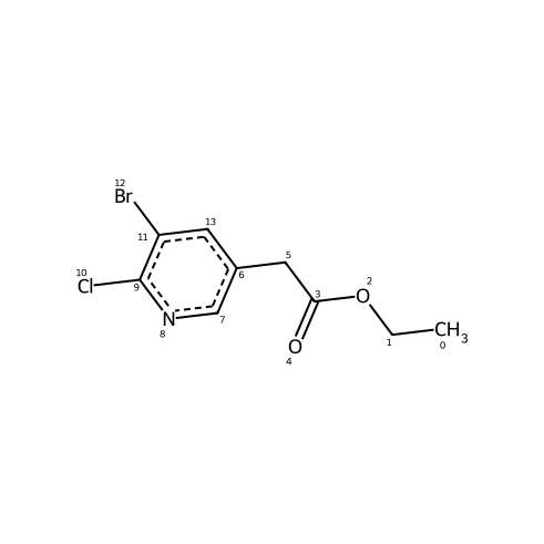 CCOC(=O)Cc1cnc(Cl)c(Br)c1